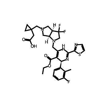 CCOC(=O)C1=C(CN2CC(F)(F)[C@@H]3CN(CC4(CC(=O)O)CC4)C[C@@H]32)NC(c2nccs2)=N[C@H]1c1cccc(F)c1C